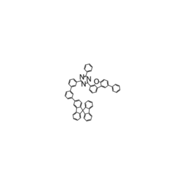 c1ccc(-c2ccc3oc4c(-c5nc(-c6ccccc6)nc(-c6cccc(-c7cccc(-c8ccc9c(c8)-c8ccccc8C98c9ccccc9-c9ccccc98)c7)c6)n5)cccc4c3c2)cc1